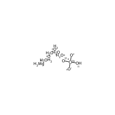 O.O.O.O.O.O.[MgH2].[O-][Cl+3]([O-])([O-])O